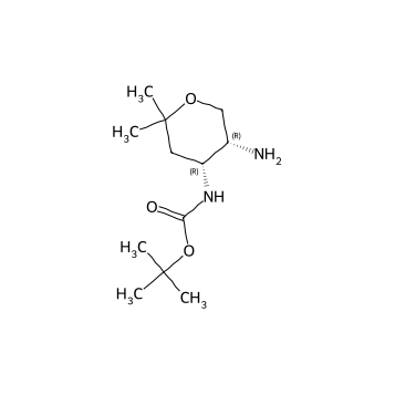 CC(C)(C)OC(=O)N[C@@H]1CC(C)(C)OC[C@@H]1N